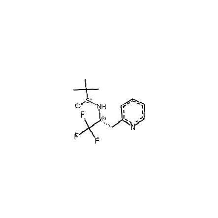 CC(C)(C)[S+]([O-])N[C@H](Cc1ccccn1)C(F)(F)F